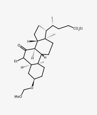 CCOC(=O)CC[C@@H](C)[C@H]1CC[C@H]2[C@@H]3C(=O)C(CC)[C@@H]4C[C@H](OCOC)CC[C@]4(C)[C@H]3CC[C@]12C